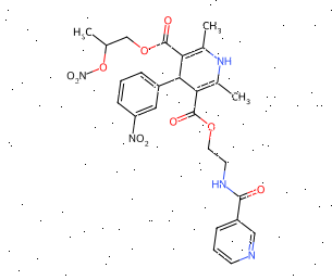 CC1=C(C(=O)OCCNC(=O)c2cccnc2)C(c2cccc([N+](=O)[O-])c2)C(C(=O)OCC(C)O[N+](=O)[O-])=C(C)N1